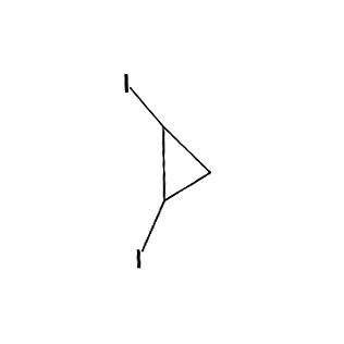 IC1CC1I